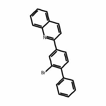 Brc1cc(-c2ccc3ccccc3n2)ccc1-c1ccccc1